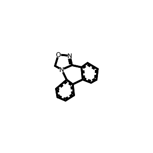 c1ccc2c(c1)C1=NOCN1c1ccccc1-2